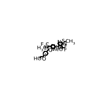 CO[C@@H](c1c(Nc2ccc([C@H](N(C)C(=O)C3CCN(C(=O)CO)CC3)C(F)(F)F)cc2)cnc2sc(C)nc12)C(F)F